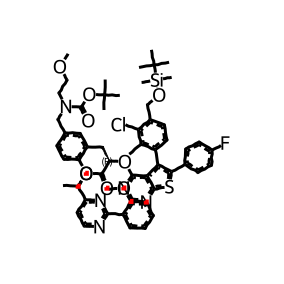 CCOC(=O)[C@@H](Cc1cc(CN(CCOC)C(=O)OC(C)(C)C)ccc1OCc1ccnc(-c2ccccc2OC)n1)Oc1ncnc2sc(-c3ccc(F)cc3)c(-c3ccc(CO[Si](C)(C)C(C)(C)C)c(Cl)c3C)c12